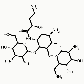 NCC[C@H](O)C(=O)N[C@@H]1C[C@@H](N)[C@@H](O[C@H]2OC(CN)[C@@H](O)[C@H](O)C2N)C(O)C1O[C@H]1OC(CO)[C@@H](O)[C@H](N)C1O